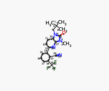 Cn1c(=O)n(CC(C)(C)C)c2ccc(-c3cccc(C(F)(F)F)c3C#N)nc21